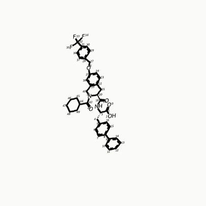 O=C(O)[C@H](Cc1ccc(-c2ccccc2)cc1)NC(=O)[C@@H]1Cc2ccc(OCc3ccc(C(F)(F)F)cc3)cc2CN1C(=O)C1CCCCC1